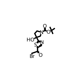 CC(C)(C)OC(=O)N1CCC(O)(c2ncc(C(=O)CBr)s2)C1